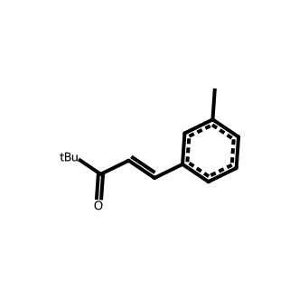 Cc1cccc(C=CC(=O)C(C)(C)C)c1